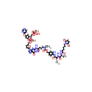 CC(C)[C@H](NC(=O)CCCCCN1C(=O)C=CC1=O)C(=O)N[C@@H](C)C(=O)Nc1ccc(COC(=O)N(C)CCCC(=O)Nc2nc3c(ncn3[C@H]3CC[C@@H](COP(=O)(S)OC4C[C@H](Oc5ccncn5)C[C@@H]4CCO[P@](=O)(O)S)O3)c(=O)[nH]2)cc1